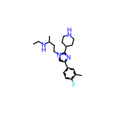 CCNC(C)CCn1cc(-c2ccc(F)c(C)c2)nc1C1CCNCC1